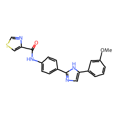 COc1cccc(-c2cnc(-c3ccc(NC(=O)c4cscn4)cc3)[nH]2)c1